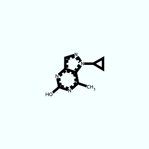 Cc1nc(O)nc2cnn(C3CC3)c12